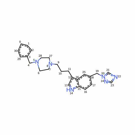 c1ccc(CN2CCN(CCCc3c[nH]c4ccc(Cn5cncn5)cc34)CC2)cc1